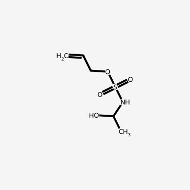 C=CCOS(=O)(=O)NC(C)O